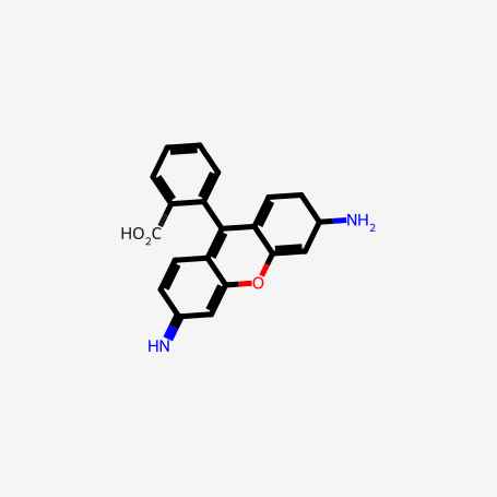 N=c1ccc2c(-c3ccccc3C(=O)O)c3c(oc-2c1)=CC(N)CC=3